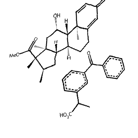 CC(C(=O)O)c1cccc(C(=O)c2ccccc2)c1.COC(=O)[C@@]1(C)[C@H](C)C[C@H]2[C@@H]3CCC4=CC(=O)C=C[C@]4(C)[C@H]3[C@@H](O)C[C@@]21C